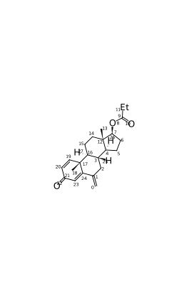 C=C1C[C@H]2[C@@H]3CC[C@H](OC(=O)CC)[C@@]3(C)CC[C@@H]2[C@@]2(C)C=CC(=O)C=C12